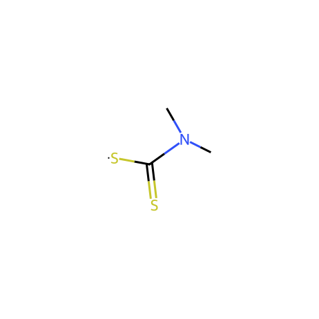 CN(C)C([S])=S